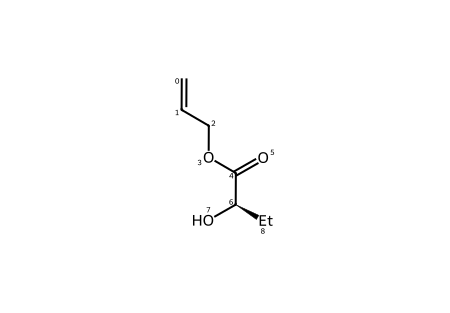 C=CCOC(=O)[C@H](O)CC